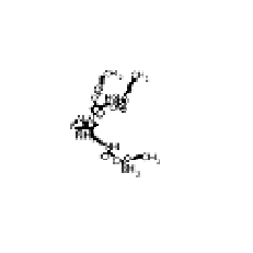 BC(OCC=C)OCC(=O)NC/C=C/c1cn(C2CC(OCOCC=C)C(COP(=O)(O)OC/C=C/C=C)O2)c2ncnc(N)c12